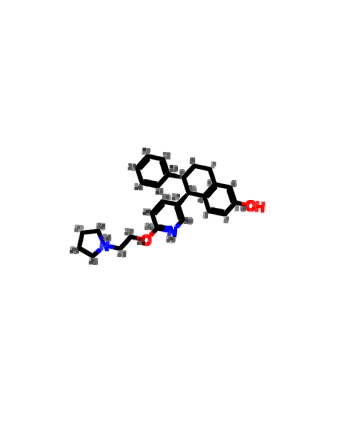 Oc1ccc2c(c1)CC[C@H](c1ccccc1)[C@@H]2c1ccc(OCCN2CCCC2)nc1